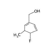 CC1C=C(CO)C=CC1F